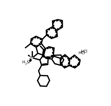 Cc1ccc(-c2ccc3ccccc3c2)c2c1[CH]([Zr]([CH3])([CH3])(=[SiH2])[CH]1C(CC3CCCCC3)=Cc3c(-c4ccc5ccccc5c4)ccc(C)c31)C(CC1CCCCC1)=C2.Cl.Cl